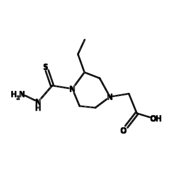 CCC1CN(CC(=O)O)CCN1C(=S)NN